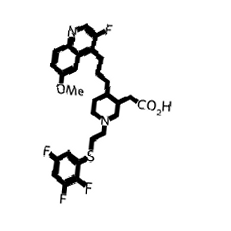 COc1ccc2ncc(F)c(CCCC3CCN(CCSc4cc(F)cc(F)c4F)CC3CC(=O)O)c2c1